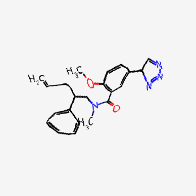 C=CCC(CN(C)C(=O)c1cc(C2C=NN=N2)ccc1OC)c1ccccc1